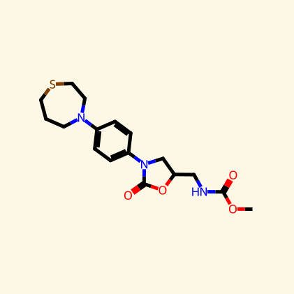 COC(=O)NCC1CN(c2ccc(N3CCCSCC3)cc2)C(=O)O1